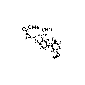 COC(=O)C1CC1COc1ccc(-c2cc(OC(C)C)ccc2F)cc1CCC=O